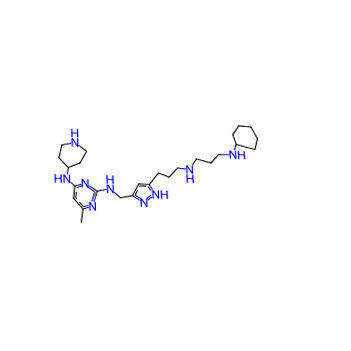 Cc1cc(NC2CCNCC2)nc(NCc2cc(CCCNCCCNC3CCCCC3)[nH]n2)n1